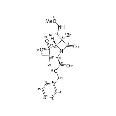 CONC[C@@]1(Br)C(=O)N2[C@@H](C(=O)OCc3ccccc3)C(C)(C)S(=O)(=O)[C@@H]21